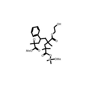 COC(=O)C(C)(Cl)CC(CC(C)(CC(C)(C)C(=O)O[Si](C)(C)OC)C(=O)OCCO)c1ccccc1